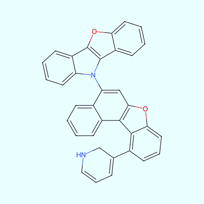 C1=CNCC(c2cccc3oc4cc(-n5c6ccccc6c6oc7ccccc7c65)c5ccccc5c4c23)=C1